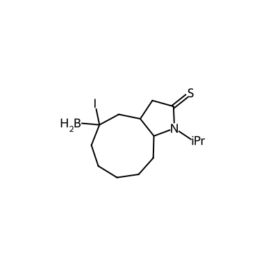 BC1(I)CCCCCC2C(CC(=S)N2C(C)C)C1